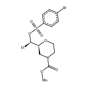 CC[C@@H](OS(=O)(=O)c1ccc(Br)cc1)[C@@H]1CN(C(=O)OC(C)(C)C)CCO1